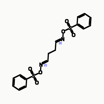 O=S(=O)(O/N=C/CC/C=N/OS(=O)(=O)c1ccccc1)c1ccccc1